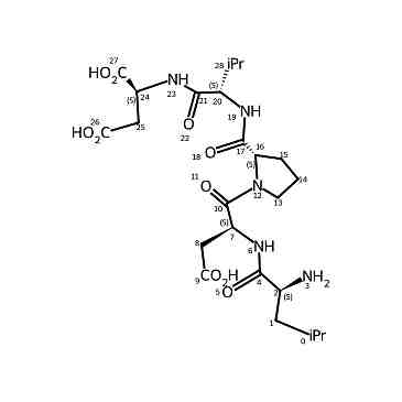 CC(C)C[C@H](N)C(=O)N[C@@H](CC(=O)O)C(=O)N1CCC[C@H]1C(=O)N[C@H](C(=O)N[C@@H](CC(=O)O)C(=O)O)C(C)C